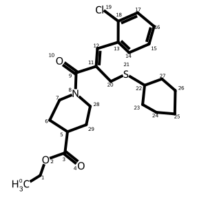 CCOC(=O)C1CCN(C(=O)/C(=C/c2ccccc2Cl)CSC2CCCCC2)CC1